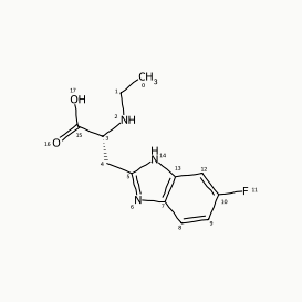 CCN[C@H](Cc1nc2ccc(F)cc2[nH]1)C(=O)O